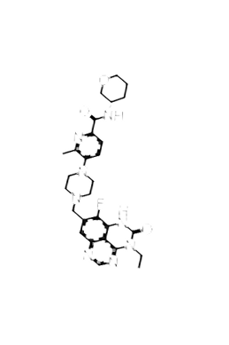 CCN1C(=O)Nc2c(F)c(CN3CCN(c4ccc(C(=O)N[C@H]5CCCOC5)nc4C)CC3)cc3ncnc1c23